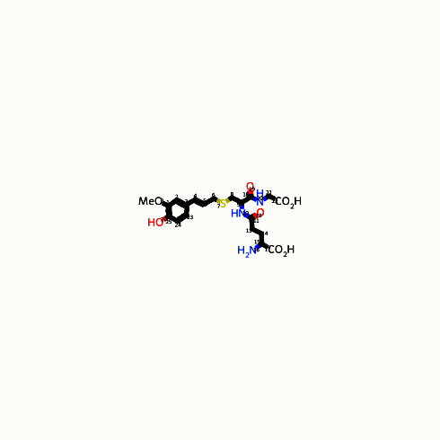 COc1cc(C=CCSCC(NC(=O)CCC(N)C(=O)O)C(=O)NCC(=O)O)ccc1O